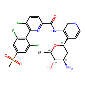 CC(C)(C)[C@H]1O[C@@H](c2ccncc2NC(=O)c2ccc(F)c(-c3c(F)cc(S(C)(=O)=O)cc3F)n2)C[C@@H](N)[C@@H]1O